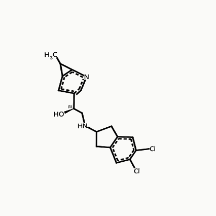 CC1c2cc([C@H](O)CNC3Cc4cc(Cl)c(Cl)cc4C3)cnc21